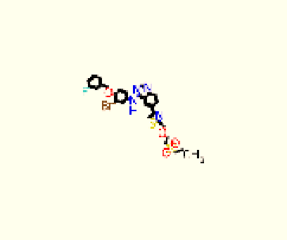 CCCS(=O)(=O)CCOCc1nc(-c2ccc3ncnc(Nc4ccc(OCc5cccc(F)c5)c(Br)c4)c3c2)cs1